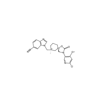 COc1cc(Cl)ncc1N1C[C@@]2(CCC[C@](C)(Cn3cnc4ccc(C#N)cc43)C2)OC1=O